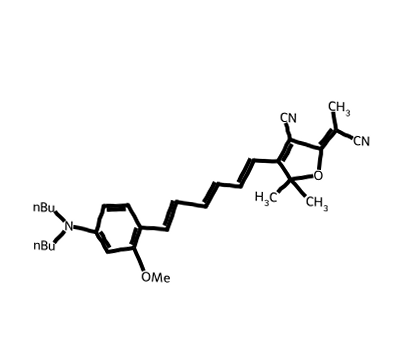 CCCCN(CCCC)c1ccc(/C=C/C=C/C=C/C2=C(C#N)C(=C(\C)C#N)/OC2(C)C)c(OC)c1